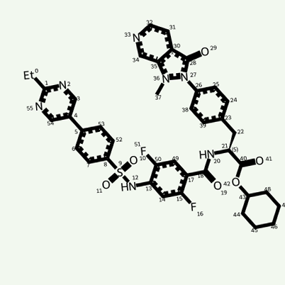 CCc1ncc(-c2ccc(S(=O)(=O)Nc3cc(F)c(C(=O)N[C@@H](Cc4ccc(-n5c(=O)c6ccncc6n5C)cc4)C(=O)OC4CCCCC4)cc3F)cc2)cn1